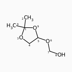 CC1(C)OCC(OCO)O1